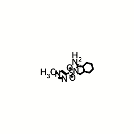 Cn1cnc(S(=O)(=O)N2CC3CCCCC3[C@@H]2N)c1